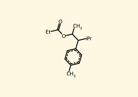 CCC(=O)OC(C)C(c1ccc(C)cc1)C(C)C